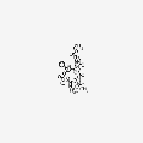 CCOC(=O)N1CCN(C(=O)C(CCC(=O)OCOC(=O)C(C)(C)C)NC(=O)c2cc(OCC(=O)N3CCCC3C(=O)NC3CCC3)n(-c3ccccc3)n2)CC1